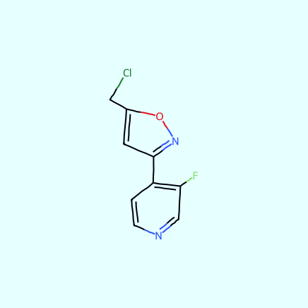 Fc1cnccc1-c1cc(CCl)on1